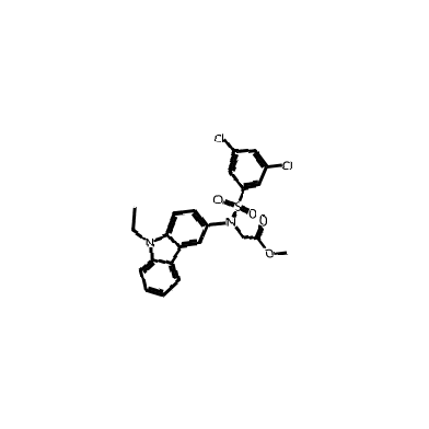 CCn1c2ccccc2c2cc(N(CC(=O)OC)S(=O)(=O)c3cc(Cl)cc(Cl)c3)ccc21